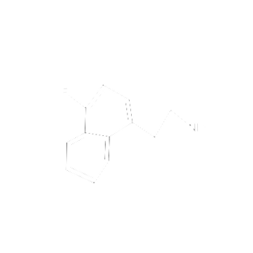 [NH]CCc1ccc(F)c2ccccc12